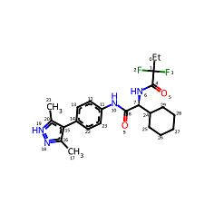 CCC(F)(F)C(=O)N[C@H](C(=O)Nc1ccc(-c2c(C)n[nH]c2C)cc1)C1CCCCC1